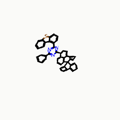 c1ccc(-c2nc(-c3ccc4c5c(cccc35)C3(c5ccccc5-c5ccccc53)c3ccccc3-4)nc(-c3cccc4sc5ccccc5c34)n2)cc1